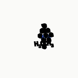 CC(C)(c1ccccc1)c1ccc2c(c1)B1c3ccccc3N(c3ccccc3)c3cc(-c4c5ccccc5c(-c5ccccc5)c5ccccc45)cc(c31)N2c1ccccc1